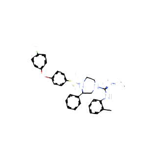 Cc1ccccc1N/C(=N\C#N)N1CCN(S(=O)(=O)c2ccc(Oc3ccc(F)cc3)cc2)C(c2ccccc2)C1